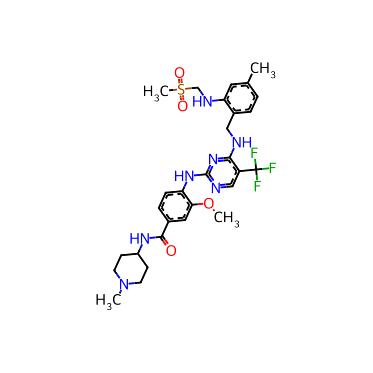 COc1cc(C(=O)NC2CCN(C)CC2)ccc1Nc1ncc(C(F)(F)F)c(NCc2ccc(C)cc2NCS(C)(=O)=O)n1